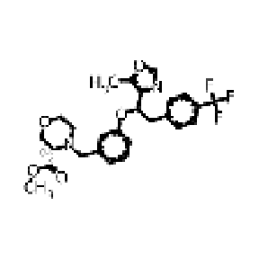 COC(=O)[C@@H]1COCCN1Cc1cccc(OC(Cc2ccc(C(F)(F)F)cc2)c2ncoc2C)c1